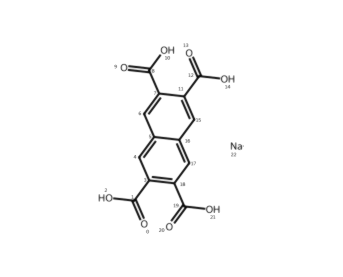 O=C(O)c1cc2cc(C(=O)O)c(C(=O)O)cc2cc1C(=O)O.[Na]